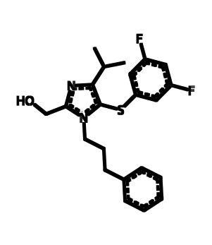 CC(C)c1nc(CO)n(CCCc2ccccc2)c1Sc1cc(F)cc(F)c1